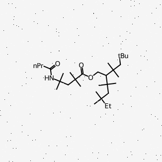 CCCC(=O)NC(C)(C)CC(C)(C)C(=O)OCC(C(C)(C)CC(C)(C)C)C(C)(C)CC(C)(C)CC